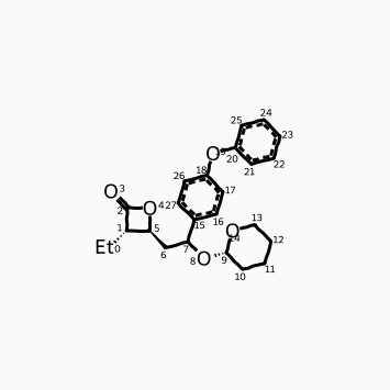 CC[C@@H]1C(=O)O[C@H]1CC(O[C@H]1CCCCO1)c1ccc(Oc2ccccc2)cc1